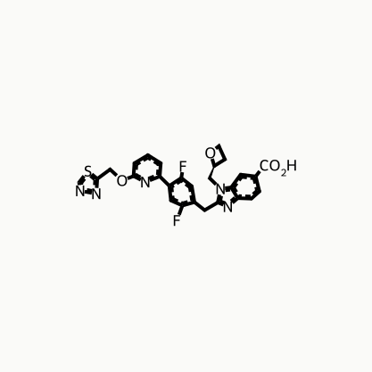 O=C(O)c1ccc2nc(Cc3cc(F)c(-c4cccc(OCc5nncs5)n4)cc3F)n(C[C@@H]3CCO3)c2c1